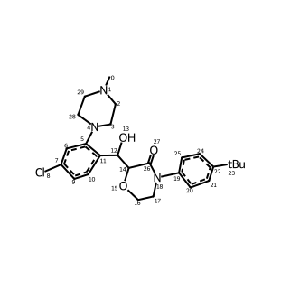 CN1CCN(c2cc(Cl)ccc2C(O)C2OCCN(c3ccc(C(C)(C)C)cc3)C2=O)CC1